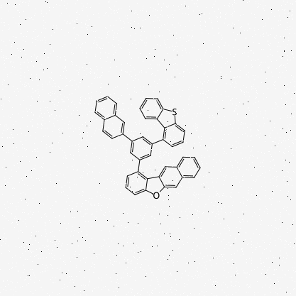 c1ccc2cc(-c3cc(-c4cccc5oc6cc7ccccc7cc6c45)cc(-c4cccc5sc6ccccc6c45)c3)ccc2c1